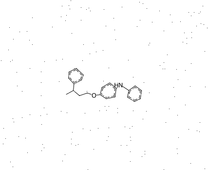 CC(CCOc1ccc(Nc2ccccc2)cc1)c1ccccc1